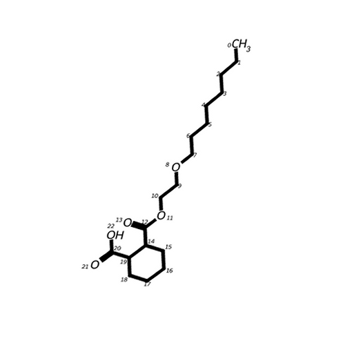 CCCCCCCCOCCOC(=O)C1CCCCC1C(=O)O